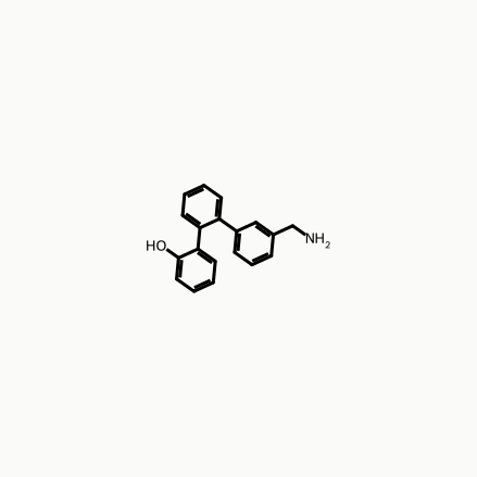 NCc1cccc(-c2ccccc2-c2ccccc2O)c1